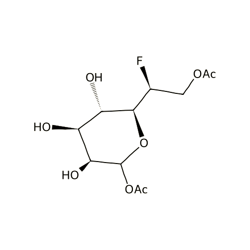 CC(=O)OC[C@H](F)[C@H]1OC(OC(C)=O)[C@@H](O)[C@@H](O)[C@@H]1O